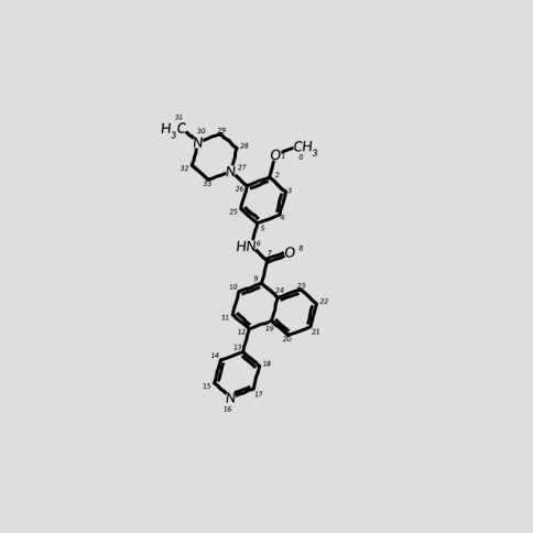 COc1ccc(NC(=O)c2ccc(-c3ccncc3)c3ccccc23)cc1N1CCN(C)CC1